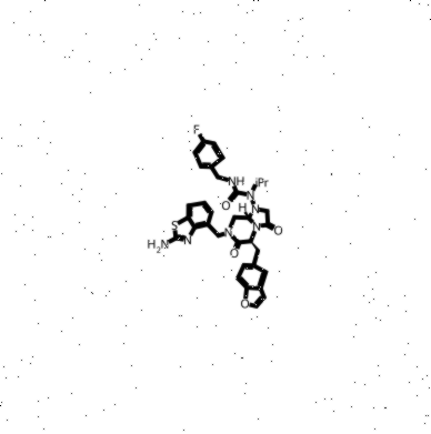 CC(C)N(C(=O)NCc1ccc(F)cc1)N1CC(=O)N2[C@@H](Cc3ccc4occc4c3)C(=O)N(Cc3cccc4sc(N)nc34)C[C@@H]21